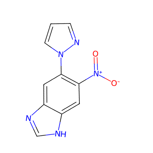 O=[N+]([O-])c1cc2[nH]cnc2cc1-n1cccn1